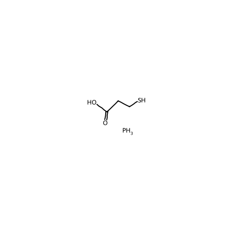 O=C(O)CCS.P